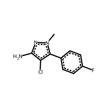 Cn1nc(N)c(Cl)c1-c1ccc(F)cc1